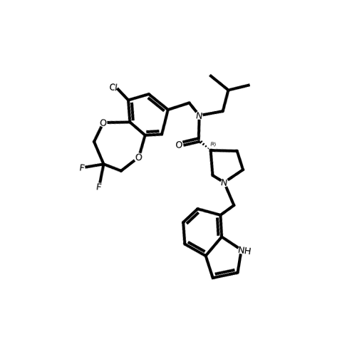 CC(C)CN(Cc1cc(Cl)c2c(c1)OCC(F)(F)CO2)C(=O)[C@@H]1CCN(Cc2cccc3cc[nH]c23)C1